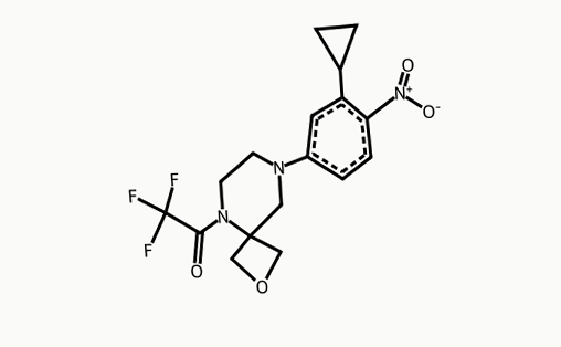 O=C(N1CCN(c2ccc([N+](=O)[O-])c(C3CC3)c2)CC12COC2)C(F)(F)F